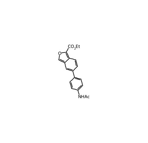 CCOC(=O)c1occ2cc(-c3ccc(NC(C)=O)cc3)ccc12